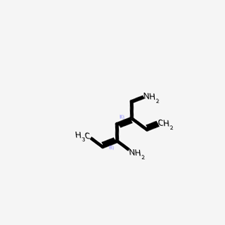 C=C/C(=C\C(N)=C/C)CN